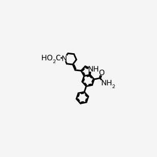 NC(=O)c1cc(-c2ccccc2)cc2c(C=C3CCCN(C(=O)O)C3)c[nH]c12